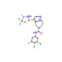 CC(NOc1cnn2c1CN(C(=O)Nc1cc(F)c(F)c(F)c1)CC2)C(F)(F)F